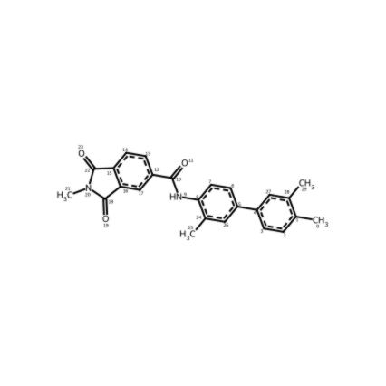 Cc1ccc(-c2ccc(NC(=O)c3ccc4c(c3)C(=O)N(C)C4=O)c(C)c2)cc1C